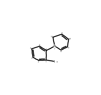 Ic1ccccc1N1C=CC=CC1